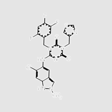 CN1C=C2C=C(Nc3nc(=O)n(Cc4cscn4)c(=O)n3Cc3cc(F)c(F)cc3F)C(Cl)=CC2N1